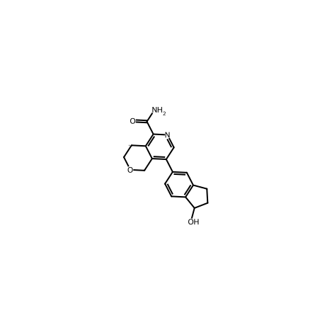 NC(=O)c1ncc(-c2ccc3c(c2)CCC3O)c2c1[CH]COC2